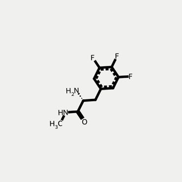 CNC(=O)[C@H](N)Cc1cc(F)c(F)c(F)c1